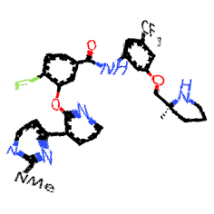 CNc1nccc(-c2cccnc2Oc2cc(C(=O)Nc3cc(OC[C@]4(C)CCCN4)cc(C(F)(F)F)c3)ccc2F)n1